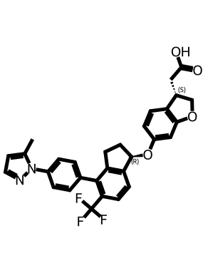 Cc1ccnn1-c1ccc(-c2c(C(F)(F)F)ccc3c2CC[C@H]3Oc2ccc3c(c2)OC[C@H]3CC(=O)O)cc1